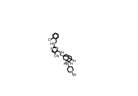 CC(C)N1CCC(N[C@@H]2[C@@H]3CC4C[C@H]2C[C@@](CNc2nc(NCc5ccccc5Cl)ncc2C#N)(C4)C3)CC1